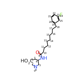 CN(C)CC(CC(=O)O)NC(=O)CCCCCCCCCc1cccc(F)c1